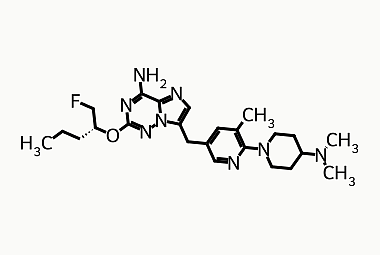 CCC[C@H](CF)Oc1nc(N)c2ncc(Cc3cnc(N4CCC(N(C)C)CC4)c(C)c3)n2n1